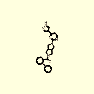 O=C(c1ccccc1-c1ccccc1)N1CC2CN(c3nccc(-c4cn[nH]c4)n3)CC2C1